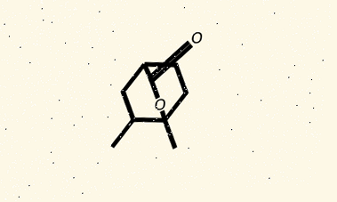 CC1CC2CCC1(C)OC2=O